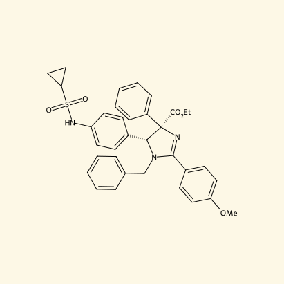 CCOC(=O)[C@]1(c2ccccc2)N=C(c2ccc(OC)cc2)N(Cc2ccccc2)[C@@H]1c1ccc(NS(=O)(=O)C2CC2)cc1